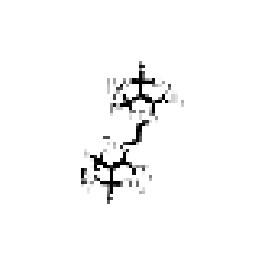 CC(OCCOC(=C(C(C)(F)C(F)(F)F)C(C)(F)C(F)(F)F)C(F)(F)F)=C(C(C)(F)C(F)(F)F)C(C)(F)C(F)(F)F